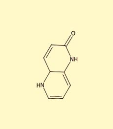 O=C1C=CC2NC=CC=C2N1